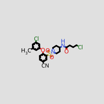 Cc1cc(Cl)cc(Oc2ccc(C#N)cc2S(=O)(=O)N2CCC(NC(=O)CCCCl)CC2)c1